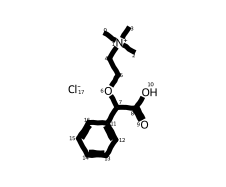 C[N+](C)(C)CCOC(C(=O)O)c1ccccc1.[Cl-]